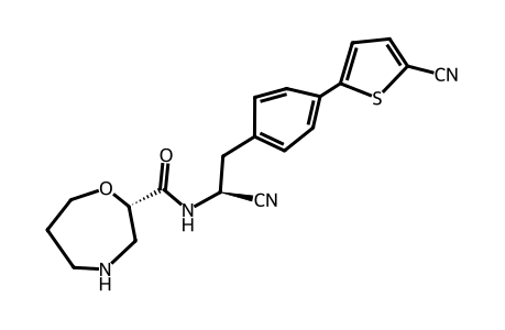 N#Cc1ccc(-c2ccc(C[C@@H](C#N)NC(=O)[C@@H]3CNCCCO3)cc2)s1